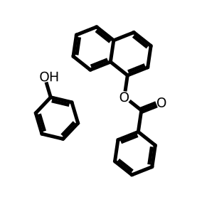 O=C(Oc1cccc2ccccc12)c1ccccc1.Oc1ccccc1